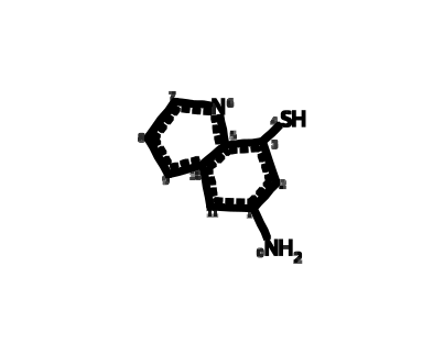 Nc1cc(S)c2ncccc2c1